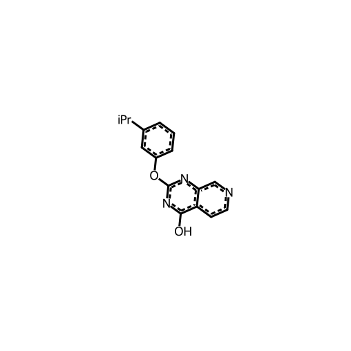 CC(C)c1cccc(Oc2nc(O)c3ccncc3n2)c1